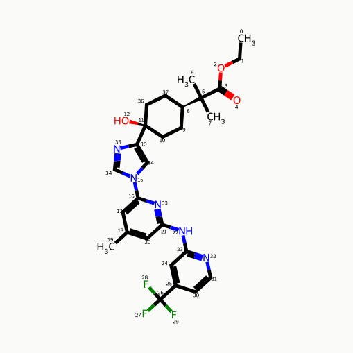 CCOC(=O)C(C)(C)[C@H]1CC[C@](O)(c2cn(-c3cc(C)cc(Nc4cc(C(F)(F)F)ccn4)n3)cn2)CC1